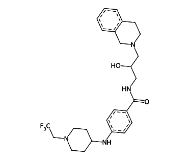 O=C(NCC(O)CN1CCc2ccccc2C1)c1ccc(NC2CCN(CC(F)(F)F)CC2)cc1